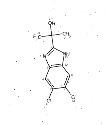 CC(O)(c1nc2cc(Cl)c(Cl)cc2[nH]1)C(F)(F)F